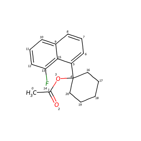 CC(=O)OC1(c2cccc3cccc(F)c23)CCCCC1